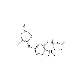 CCOC(=O)C1(C)Oc2cc(Oc3ccc(C(F)(F)F)cc3Cl)ccc2[N+](C)(C)C1=O